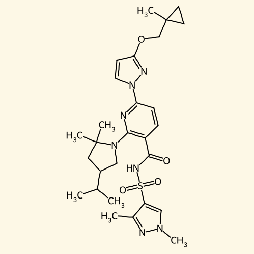 Cc1nn(C)cc1S(=O)(=O)NC(=O)c1ccc(-n2ccc(OCC3(C)CC3)n2)nc1N1CC(C(C)C)CC1(C)C